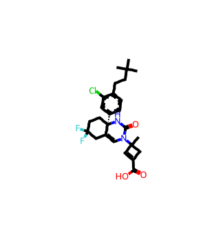 CC(C)(C)CCc1ccc([C@@]23CCC(F)(F)CC2=CN(C2(C)C=C(C(=O)O)C2)C(=O)N3)cc1Cl